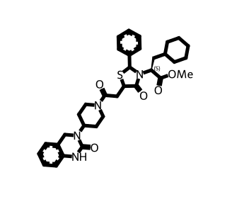 COC(=O)[C@H](CC1CCCCC1)N1C(=O)C(CC(=O)N2CCC(N3Cc4ccccc4NC3=O)CC2)SC1c1ccccc1